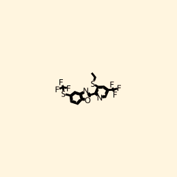 CCSc1cc(C(F)(F)F)cnc1-c1nc2cc(SC(F)(F)F)ccc2o1